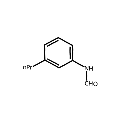 CCCc1cccc(NC=O)c1